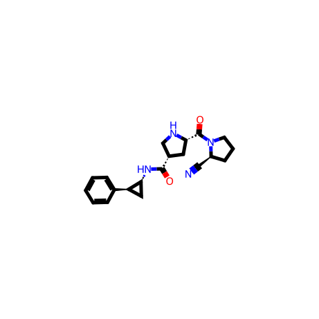 N#C[C@@H]1CCCN1C(=O)[C@@H]1C[C@H](C(=O)N[C@@H]2C[C@H]2c2ccccc2)CN1